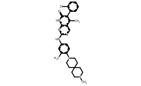 Cc1cc(Nc2ncc3c(C)c(-c4ccccc4Cl)c(=O)[nH]c3n2)ccc1N1CCC2(CCN(C)CC2)CC1